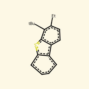 CCc1ccc2c(sc3ccccc32)c1C(C)(C)C